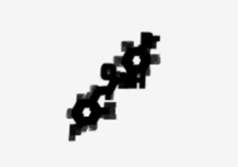 O=C(C=Cc1ccc(F)cc1F)Nc1ccc(Br)cc1